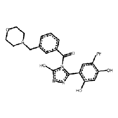 CC(C)c1cc(-c2nnc(O)n2C(=O)c2cccc(CN3CCOCC3)c2)c(O)cc1O